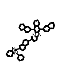 c1ccc(-n2c(-c3ccc4cc(-c5ccc6nc7c(-c8ccc9ccccc9c8)c8ccccc8c(-c8ccc9ccccc9c8)c7n6c5)ccc4c3)nc3ccccc32)cc1